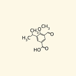 COc1c(C=O)cc(C(=O)O)cc1C(C)C